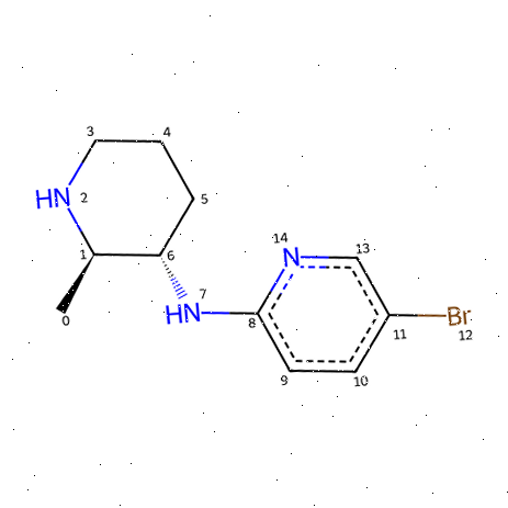 C[C@H]1NCCC[C@@H]1Nc1ccc(Br)cn1